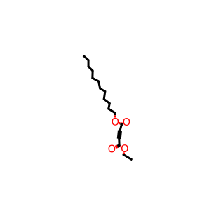 CCCCCCCCCCCCOC(=O)C#CC(=O)OCC